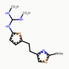 CC(=O)Nc1nc(CCc2ccc(NC(NC(=O)O)NC(=O)O)s2)cs1